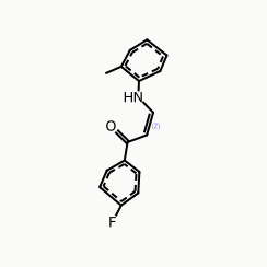 Cc1ccccc1N/C=C\C(=O)c1ccc(F)cc1